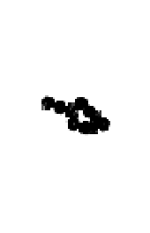 c1ccc(-c2nc(-c3ccc(-c4cccnc4)cc3)cc(-c3cccc(-c4ccc5oc6c7ccccc7c7nc8ccccc8n7c6c5c4)c3)n2)cc1